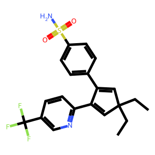 CCC1(CC)C=C(c2ccc(S(N)(=O)=O)cc2)C(c2ccc(C(F)(F)F)cn2)=C1